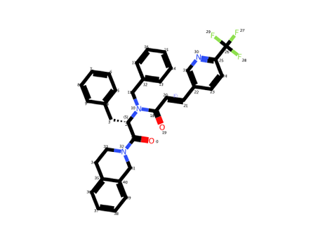 O=C([C@H](Cc1ccccc1)N(Cc1ccccc1)C(=O)/C=C/c1ccc(C(F)(F)F)nc1)N1CCc2ccccc2C1